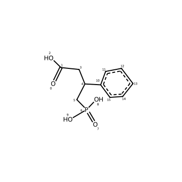 O=C(O)CC(CP(=O)(O)O)c1ccccc1